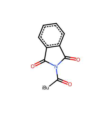 CCC(C)C(=O)N1C(=O)c2ccccc2C1=O